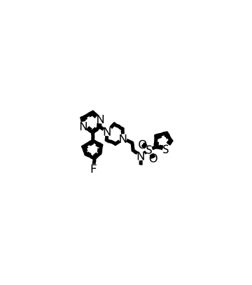 CN(CCN1CCN(c2nccnc2-c2ccc(F)cc2)CC1)S(=O)(=O)c1cccs1